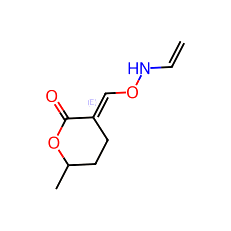 C=CNO/C=C1\CCC(C)OC1=O